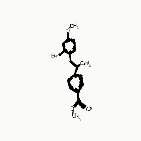 COC(=O)c1ccc(C(C)Cc2ccc(OC)cc2Br)cc1